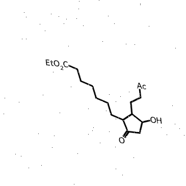 CCOC(=O)CCCCCCC1C(=O)CC(O)C1CCC(C)=O